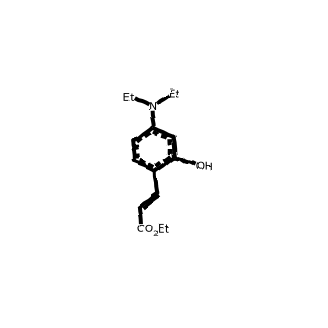 CCOC(=O)C=Cc1ccc(N(CC)CC)cc1O